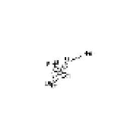 CCN(CC)c1ccc2c(-c3ccccc3C(=O)N3CCN(C(=O)CCCCCCCN=[N+]=[N-])CC3)c3ccc(=[N+](CC)CC)cc-3oc2c1.[Cl-]